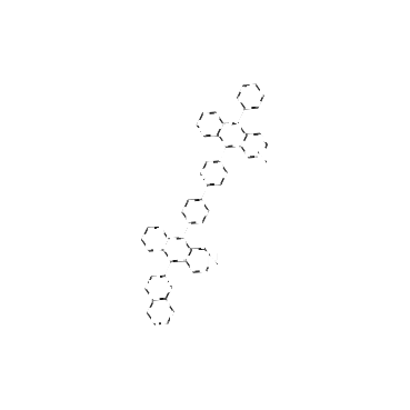 c1ccc(-c2c3ccccc3c(-c3ccc(-c4ccc(-c5c6ccccc6c(-c6ccc7ccccc7c6)c6ccncc56)cc4)cc3)c3cnccc23)cc1